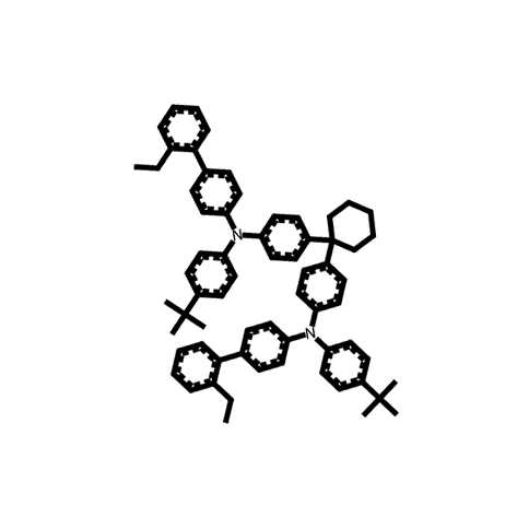 CCc1ccccc1-c1ccc(N(c2ccc(C(C)(C)C)cc2)c2ccc(C3(c4ccc(N(c5ccc(-c6ccccc6CC)cc5)c5ccc(C(C)(C)C)cc5)cc4)CCCCC3)cc2)cc1